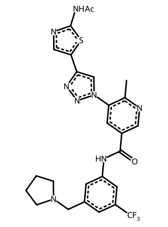 CC(=O)Nc1ncc(-c2cn(-c3cc(C(=O)Nc4cc(CN5CCCC5)cc(C(F)(F)F)c4)cnc3C)nn2)s1